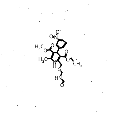 CCOC(=O)C1=C(CSCNC=O)NC(C)=C(C(=O)OC)C1c1cccc([N+](=O)[O-])c1